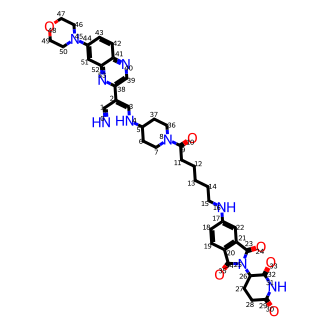 N=C/C(=C\NC1CCN(C(=O)CCCCCNc2ccc3c(c2)C(=O)N(C2CCC(=O)NC2=O)C3=O)CC1)c1cnc2ccc(N3CCOCC3)cc2n1